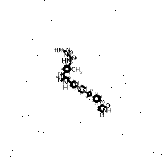 Cc1cc(-c2ncnc3[nH]c(-c4ccc(N5CCN([C@H]6C[C@@H](c7ccc(O[C@@H]8CCC(=O)NC8=O)cc7)C6)CC5)nc4)cc23)ccc1CNC(=O)c1nc(C(C)(C)C)no1